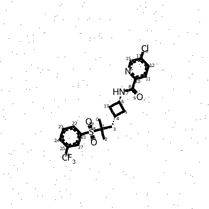 CC(C)(C[C@H]1C[C@@H](NC(=O)c2ccc(Cl)cn2)C1)S(=O)(=O)c1cccc(C(F)(F)F)c1